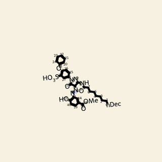 CCCCCCCCCCCCCCCCCC(=O)NC1=NN(c2ccc(Oc3ccccc3)c(S(=O)(=O)O)c2)C(=O)C1/N=N/c1cc(C(=O)OC)ccc1O